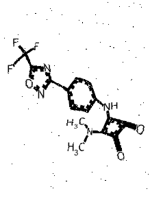 CN(C)c1c(Nc2ccc(-c3noc(C(F)(F)F)n3)cc2)c(=O)c1=O